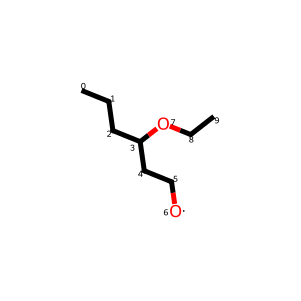 CCCC(CC[O])OCC